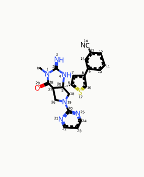 CN1C(=N)N[C@@]2(c3cc(-c4cccc(C#N)c4)cs3)CN(c3ncccn3)CC2C1=O